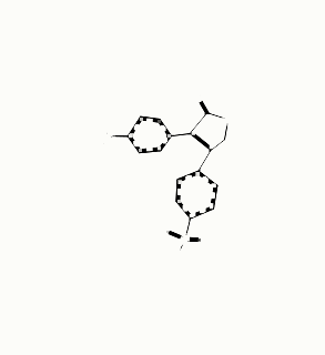 CS(=O)(=O)c1ccc(C2=C(c3ccc([N+](=O)[O-])cc3)C(=O)OC2)cc1